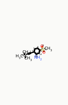 C[Si](C)(C)C#Cc1ccc(S(C)(=O)=O)cc1N